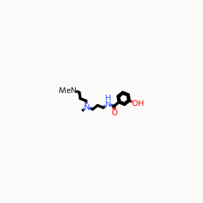 CNCCCN(C)CCCNC(=O)c1cccc(O)c1